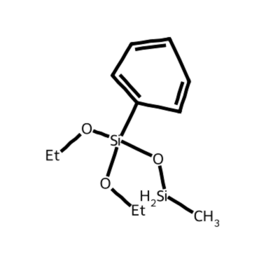 CCO[Si](OCC)(O[SiH2]C)c1ccccc1